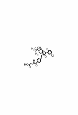 CC(C)(C)C1CCC2(CC1)N=C(c1cc(Cl)ccc1F)C(=O)N2CCc1ccc(C(=O)NCCC(=O)O)cc1